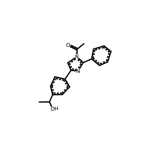 CC(=O)n1cc(-c2ccc(C(C)O)cc2)nc1-c1ccccc1